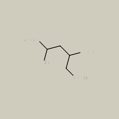 CCCCCC(CCC)CC(CC(=O)O)C(=O)O